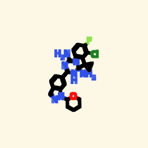 NC1=NC(N)(C2(c3cccc(F)c3Cl)CC2)NC(c2ccc3cnn(C4CCCCO4)c3c2)=N1